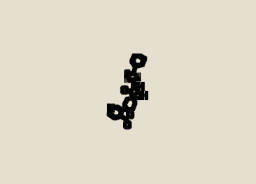 O=C1OC2(CCC(O)(C(=O)Nc3nsc(-c4ccccc4)n3)CC2)c2cnccc21